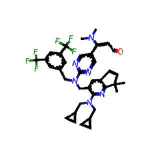 CN(C)/C(=C/C=O)c1cnc(N(Cc2cc(C(F)(F)F)cc(C(F)(F)F)c2)Cc2cc3c(nc2N(CC2CC2)CC2CC2)C(C)(C)CC3)nc1